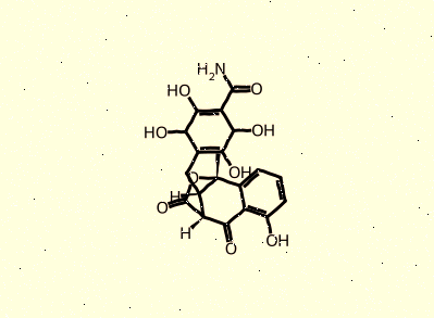 C[C@@]12OC(=O)[C@@H](C(=O)c3c(O)cccc31)[C@@H]2CC1=C(O)C(O)C(C(N)=O)=C(O)C1O